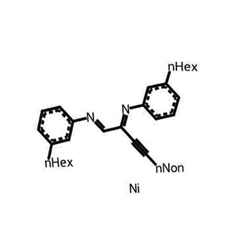 CCCCCCCCCC#CC(C=Nc1cccc(CCCCCC)c1)=Nc1cccc(CCCCCC)c1.[Ni]